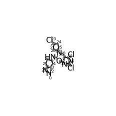 Cn1cc2cc(NC(=O)N(Cc3cnc(Cl)nc3Cl)c3ccc(Cl)cc3)ccc2n1